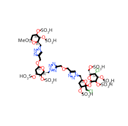 CO[C@@H]1C[C@@H](OS(=O)(=O)O)[C@H](OS(=O)(=O)O)[C@@H](Cn2cc(CO[C@@H]3C[C@@H](OS(=O)(=O)O)[C@H](OS(=O)(=O)O)[C@@H](Cn4nnc(COCc5cn(C[C@@H]6C[C@H](OS(=O)(=O)O)C(CCl)(O[C@H]7O[C@H](COS(=O)(=O)O)[C@H](Cl)[C@H](OS(=O)(=O)O)C7OS(=O)(=O)O)O6)nn5)n4)O3)nn2)O1